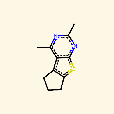 Cc1nc(C)c2c3c(sc2n1)CCC3